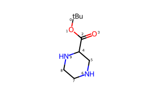 CC(C)(C)OC(=O)C1CNCCN1